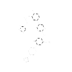 COc1cc(N2CCN(C3COC3)CC2)c(F)cc1Nc1ncc(-c2ccc(Cl)c(O[C@@H](C)Cn3cnnn3)c2)cn1